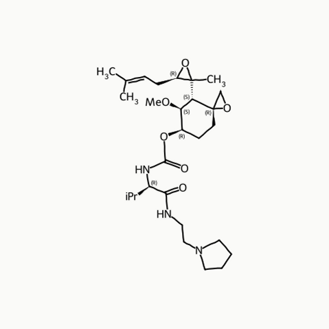 CO[C@H]1[C@H](C2(C)O[C@@H]2CC=C(C)C)[C@]2(CC[C@H]1OC(=O)N[C@@H](C(=O)NCCN1CCCC1)C(C)C)CO2